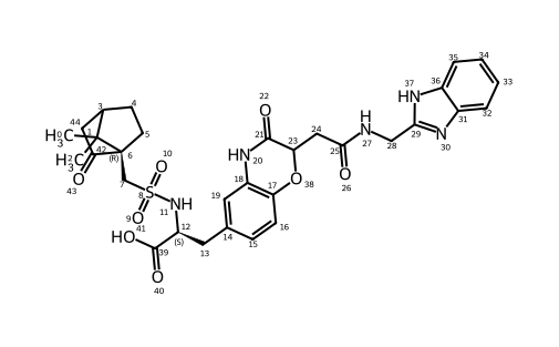 CC1(C)C2CC[C@]1(CS(=O)(=O)N[C@@H](Cc1ccc3c(c1)NC(=O)C(CC(=O)NCc1nc4ccccc4[nH]1)O3)C(=O)O)C(=O)C2